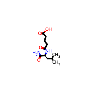 CC(C)C[C@H](NC(=O)CCCC(=O)O)C(N)=O